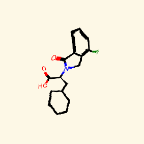 O=C(O)[C@H](CC1CCCCC1)N1Cc2c(F)cccc2C1=O